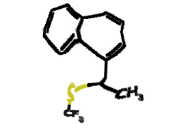 CC(SC(F)(F)F)c1cccc2ccccc12